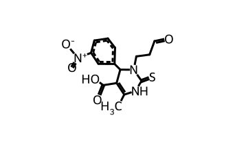 CC1=C(C(=O)O)C(c2cccc([N+](=O)[O-])c2)N(CCC=O)C(=S)N1